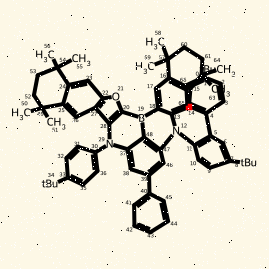 CC(C)(C)c1ccc(-c2cc(C(C)(C)C)ccc2N2c3cc4c(cc3B3c5oc6cc7c(cc6c5N(c5ccc(C(C)(C)C)cc5)c5cc(-c6ccccc6)cc2c53)C(C)(C)CCC7(C)C)C(C)(C)CCC4(C)C)cc1